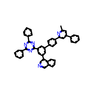 Cc1cc(-c2ccccc2)cc(-c2ccc(-c3cc(-c4nc(-c5ccccc5)nc(-c5ccccc5)n4)cc(-c4cncc5ccccc45)c3)cc2)n1